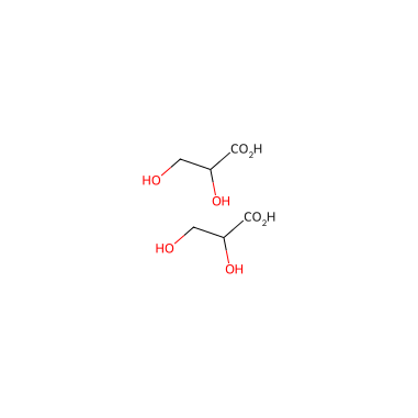 O=C(O)C(O)CO.O=C(O)C(O)CO